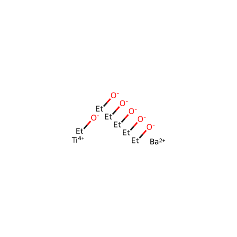 CC[O-].CC[O-].CC[O-].CC[O-].CC[O-].CC[O-].[Ba+2].[Ti+4]